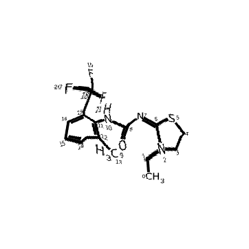 CCN1CCSC1=NC(=O)Nc1c(C)cccc1C(F)(F)F